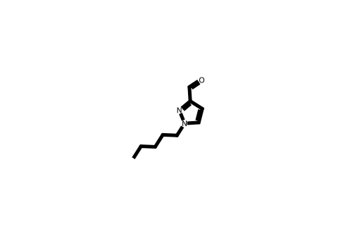 CCCCCn1ccc(C=O)n1